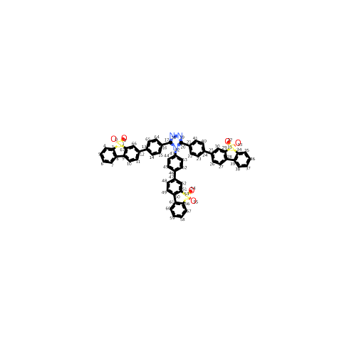 O=S1(=O)c2ccccc2-c2ccc(-c3ccc(-c4nnc(-c5ccc(-c6ccc7c(c6)S(=O)(=O)c6ccccc6-7)cc5)n4-c4ccc(-c5ccc6c(c5)S(=O)(=O)c5ccccc5-6)cc4)cc3)cc21